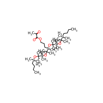 CCCC[Si](C)(C)OC(C)(C)[Si](C)(C)OC(C)(C)[Si](C)(CCCOC(=O)C(C)=O)OC(C)(C)[Si](C)(C)OC(C)(C)[Si](C)(C)CCCC